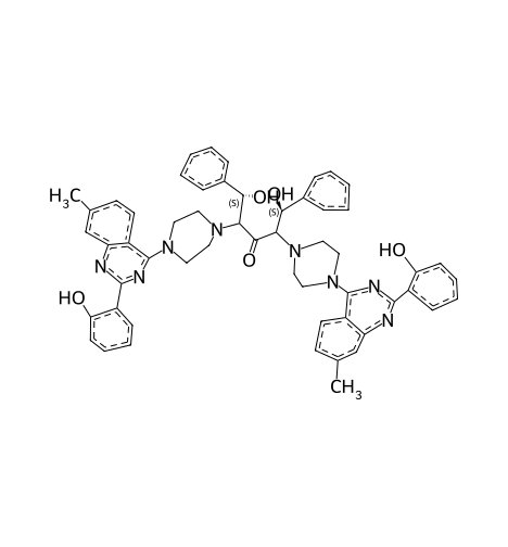 Cc1ccc2c(N3CCN(C(C(=O)C([C@@H](O)c4ccccc4)N4CCN(c5nc(-c6ccccc6O)nc6cc(C)ccc56)CC4)[C@@H](O)c4ccccc4)CC3)nc(-c3ccccc3O)nc2c1